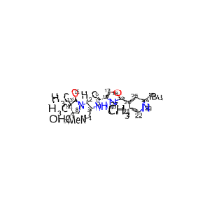 C=C(N/C(=C/NC)CN1CC(C=O)C(C)(C)C1=O)C1=COC(c2ccnc(C(C)CC)c2)N1C